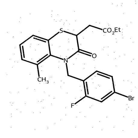 CCOC(=O)CC1Sc2cccc(C)c2N(Cc2ccc(Br)cc2F)C1=O